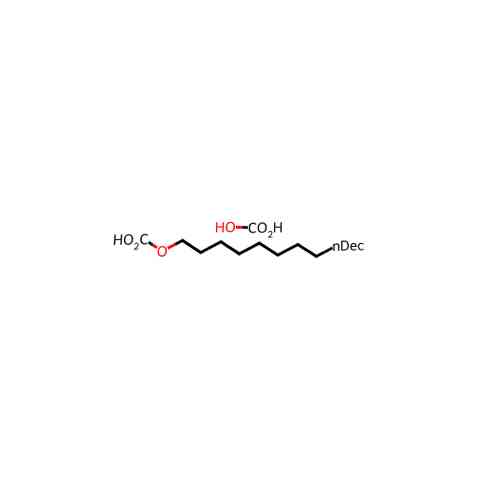 CCCCCCCCCCCCCCCCCCOC(=O)O.O=C(O)O